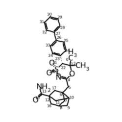 CC1(C)OC(CC23CC4CC2CC(C(N)=O)(C4)C3)=NS(=O)(=O)[C@@H]1c1ccc(-c2ccccc2)cc1